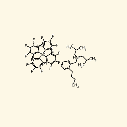 CCCCc1ccccc1C[NH+](CC(C)C)CC(C)C.Fc1c(F)c(F)c([B-](c2c(F)c(F)c(F)c(F)c2F)(c2c(F)c(F)c(F)c(F)c2F)c2c(F)c(F)c(F)c(F)c2F)c(F)c1F